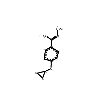 CO/N=C(\C(=O)O)c1ccc(SC2CC2)cc1